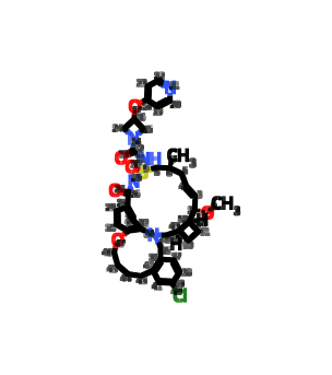 CO[C@H]1/C=C/C[C@H](C)CS(=O)(NC(=O)N2CC(Oc3ccncc3)C2)=NC(=O)c2ccc3c(c2)N(Cc2ccc(Cl)cc2CCCCO3)C[C@@H]2CC[C@H]21